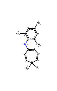 Cc1cc(C)c(NC2=CC=CC(C)(C(C)(C)C)C=C2)c(C)c1